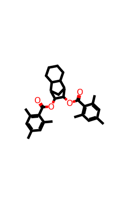 Cc1cc(C)c(C(=O)OC2C3CC(C4CCCCC43)C2OC(=O)c2c(C)cc(C)cc2C)c(C)c1